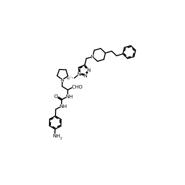 Nc1ccc(CNC(=O)NC(C=O)CN2CCC[C@@H]2Cn2cc(CN3CCC(CCc4ccccc4)CC3)nn2)cc1